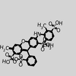 C=c1cc2c(cc1S(=O)(=O)O)=C(c1ccccc1S(=O)(=O)O)c1cc(S(=O)(=O)O)c(Nc3c(C)ccc(S(=O)(=O)O)c3C)cc1O2